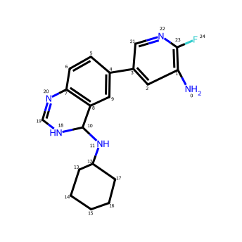 Nc1cc(-c2ccc3c(c2)C(NC2CCCCC2)NC=N3)cnc1F